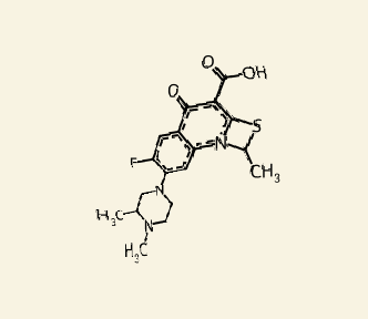 CC1CN(c2cc3c(cc2F)c(=O)c(C(=O)O)c2n3C(C)S2)CCN1C